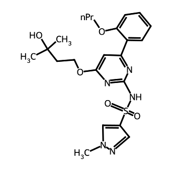 CCCOc1ccccc1-c1cc(OCCC(C)(C)O)nc(NS(=O)(=O)c2cnn(C)c2)n1